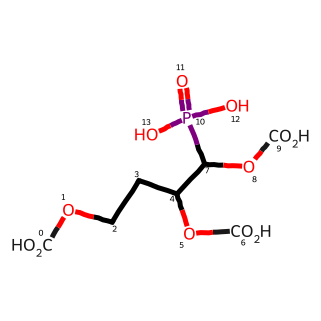 O=C(O)OCCC(OC(=O)O)C(OC(=O)O)P(=O)(O)O